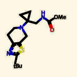 COC(=O)NCC1(N2CCc3nc(C(C)(C)C)sc3C2)CC1